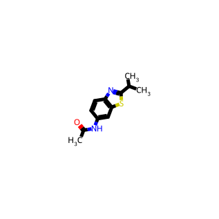 CC(=O)Nc1ccc2nc(C(C)C)sc2c1